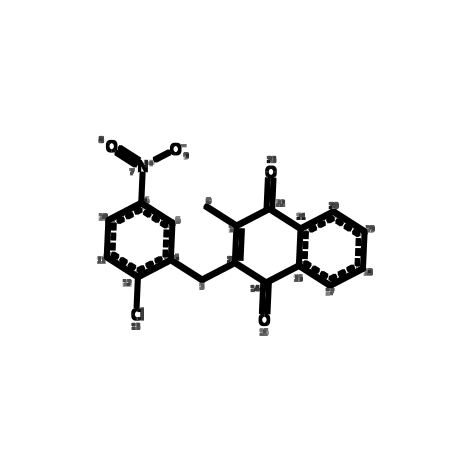 CC1=C(Cc2cc([N+](=O)[O-])ccc2Cl)C(=O)c2ccccc2C1=O